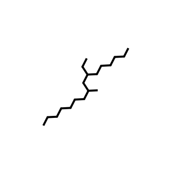 CCCCCCCC(C)CC(CC)CCCCCC